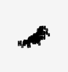 COCCNc1ccc2c(c1)C(C)=C(c1cccc(O)c1)C(c1ccc(OC[C@H](C)N3CC[C@@H](C)C3)cc1)O2